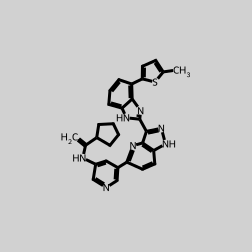 C=C(Nc1cncc(-c2ccc3[nH]nc(-c4nc5c(-c6ccc(C)s6)cccc5[nH]4)c3n2)c1)C1CCCC1